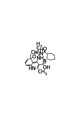 CCC1(OCC(C)NC(=O)C2CCCCC2)C=CC=C2NC(C)=C(C(=O)O)C(N)=C21